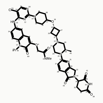 CNC(=O)COc1cc2cc(Nc3nc(N4CCC(O[C@H]5C[C@H](N6CCN(c7ccc8c(n7)CN(C7CCC(=O)NC7=O)C8=O)[C@H](C)C6)C5)CC4)ncc3Cl)ccc2n(C(C)C)c1=O